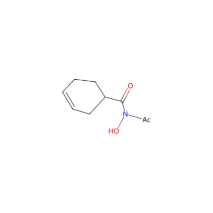 CC(=O)N(O)C(=O)C1CC=CCC1